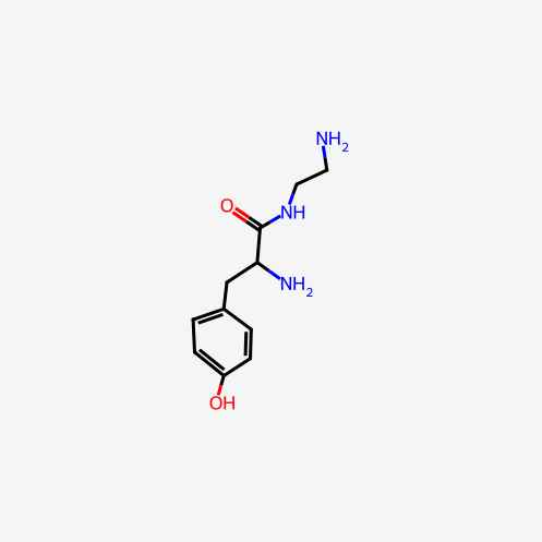 NCCNC(=O)C(N)Cc1ccc(O)cc1